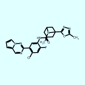 Cc1nnc(C23CC(C)CC(C2)N3C(=O)Nc2cc(-c3ncc4cccn4n3)c(Cl)cc2F)o1